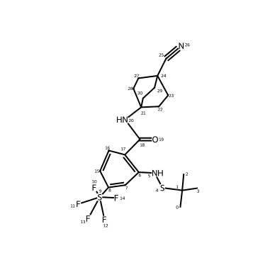 CC(C)(C)SNc1cc(S(F)(F)(F)(F)F)ccc1C(=O)NC12CCC(C#N)(CC1)CC2